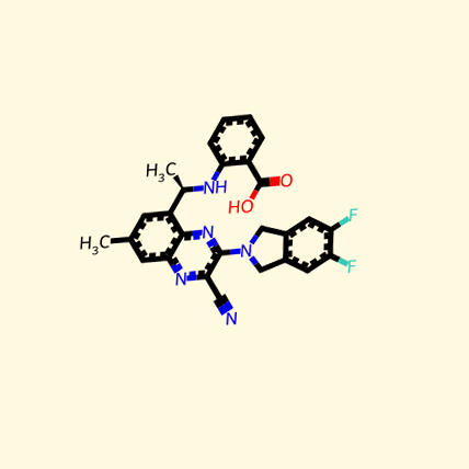 Cc1cc([C@@H](C)Nc2ccccc2C(=O)O)c2nc(N3Cc4cc(F)c(F)cc4C3)c(C#N)nc2c1